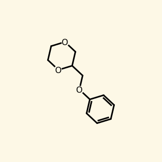 c1ccc(OCC2COCCO2)cc1